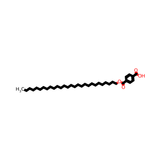 CCCCCCCCCCCCCCCCCCCCCCCCCCCCOC(=O)c1ccc(C(=O)O)cc1